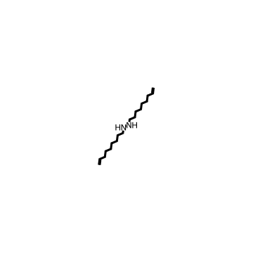 C=CCCCCCCCNNCCCCCCCC=C